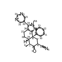 C[C@@H]1C(=O)C(C#N)C[C@@]2(c3ccccc3)c3nn(C)c(-c4cncnc4)c3CC[C@@H]12